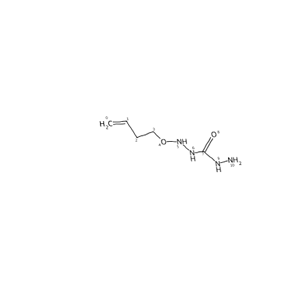 C=CCCONNC(=O)NN